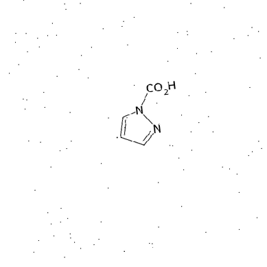 O=C(O)n1c[c]cn1